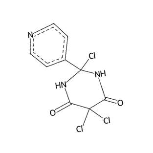 O=C1NC(Cl)(c2ccncc2)NC(=O)C1(Cl)Cl